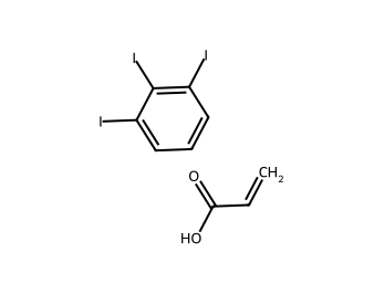 C=CC(=O)O.Ic1cccc(I)c1I